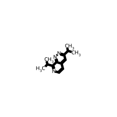 CC(C)c1cc2ccnc(C(C)C)c2nn1